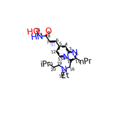 CCCc1nc2cc(/C=C/C(=O)NO)ccn2c1CN(CC)CCC(C)C